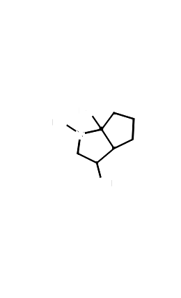 CC1CN(C)C2(C)CCCC12